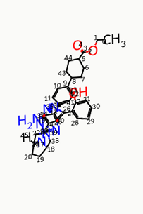 CCOC(=O)C1CCC(c2ccc(-c3cnc(N4C5CC[C@@H]4CN(c4cc(-c6ccccc6O)nnc4N)C5)nc3)cc2)CC1